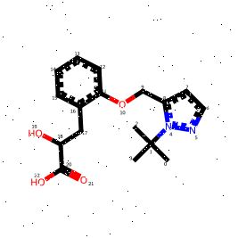 CC(C)(C)n1nccc1COc1ccccc1CC(O)C(=O)O